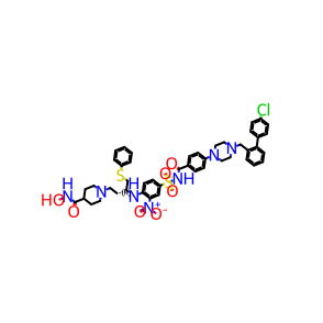 O=C(NS(=O)(=O)c1ccc(N[C@H](CCN2CCC(C(=O)NO)CC2)CSc2ccccc2)c([N+](=O)[O-])c1)c1ccc(N2CCN(Cc3ccccc3-c3ccc(Cl)cc3)CC2)cc1